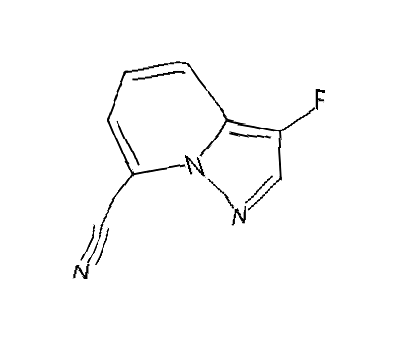 N#Cc1cccc2c(F)cnn12